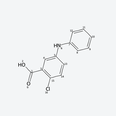 O=C(O)c1cc(Nc2ccccc2)ccc1Cl